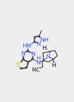 Cc1cc(Nc2nc(NC3C[C@H]4CC[C@H](C3)N4CCC#N)c3ccsc3n2)n[nH]1